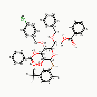 Cc1ccc(C(C)(C)C)cc1SC1O[C@H]([C@@H](COC(=O)c2ccccc2)OCc2ccccc2)[C@@H](OCc2ccc(Br)cc2)[C@H](OC(=O)c2ccccc2)[C@@H]1O